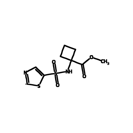 COC(=O)C1(NS(=O)(=O)c2cn[c]s2)CCC1